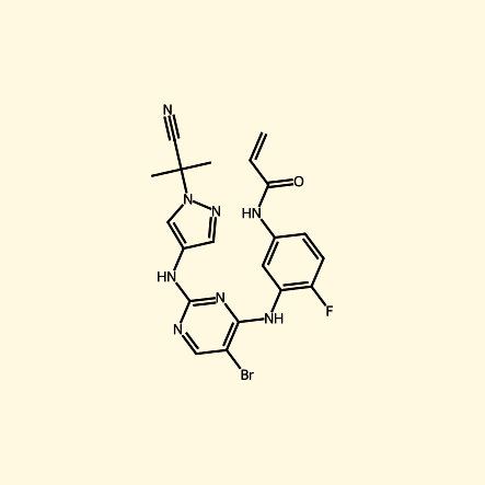 C=CC(=O)Nc1ccc(F)c(Nc2nc(Nc3cnn(C(C)(C)C#N)c3)ncc2Br)c1